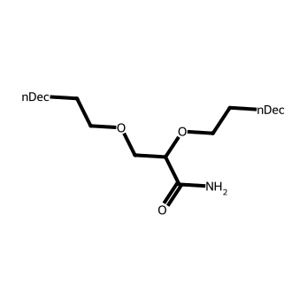 CCCCCCCCCCCCOCC(OCCCCCCCCCCCC)C(N)=O